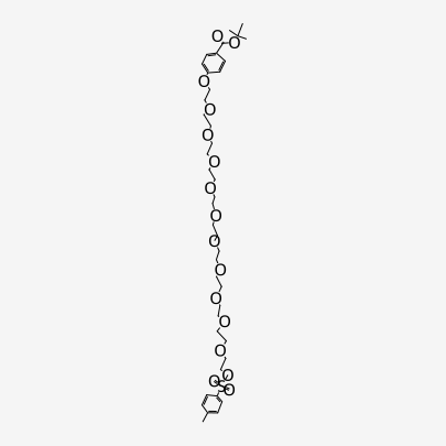 Cc1ccc(S(=O)(=O)OCCOCCOCCOCCOCCOCCOCCOCCOCCOCCOCCOc2ccc(C(=O)OC(C)(C)C)cc2)cc1